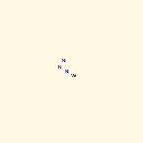 [N].[N].[N].[W]